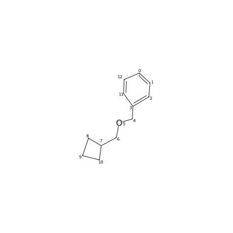 [c]1ccc(COCC2CCC2)cc1